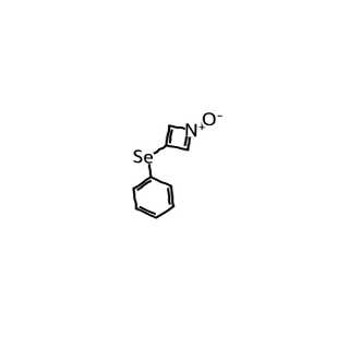 [O-][N+]1=CC([Se]c2ccccc2)=C1